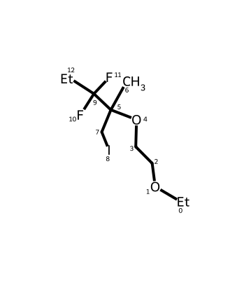 CCOCCOC(C)(CI)C(F)(F)CC